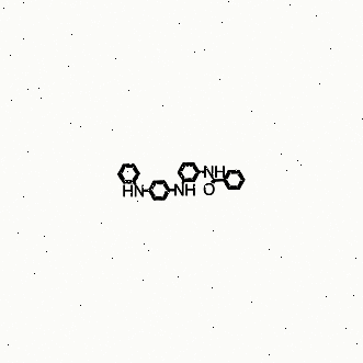 O=C(Nc1cccc(Nc2ccc(Nc3ccccc3)cc2)c1)c1ccccc1